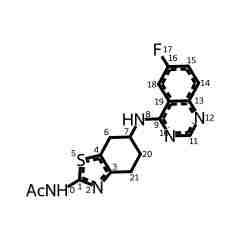 CC(=O)Nc1nc2c(s1)CC(Nc1ncnc3ccc(F)cc13)CC2